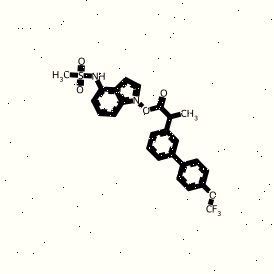 CC(C(=O)On1ccc2c(NS(C)(=O)=O)cccc21)c1cccc(-c2ccc(OC(F)(F)F)cc2)c1